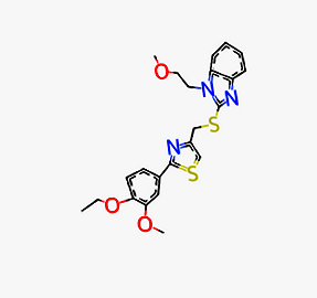 CCOc1ccc(-c2nc(CSc3nc4ccccc4n3CCOC)cs2)cc1OC